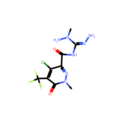 CN(N)/C(=N\N)NC(=O)c1nn(C)c(=O)c(C(F)(F)F)c1Cl